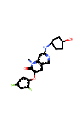 Cn1c(=O)c(Oc2ccc(F)cc2F)cc2cnc(NC3CCC(O)CC3)cc21